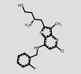 Cc1c(C[C@@H](N)CCO)sc2c(NCc3ccccc3F)cc(Cl)nc12